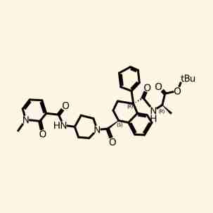 C[C@@H](NC(=O)[C@@]1(c2ccccc2)CC[C@H](C(=O)N2CCC(NC(=O)c3cccn(C)c3=O)CC2)c2ccccc21)C(=O)OC(C)(C)C